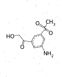 CS(=O)(=O)c1cc(N)cc(C(=O)CO)c1